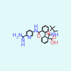 CC(NC(=O)C1(C(=O)O)C=CC=CC1c1ccccc1C(=O)Nc1ccc(C(=N)N)nc1)C(C)(C)C